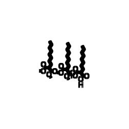 CCCCCCCCC(C(=O)O)C(=O)O.CCCCCCCCC(C(=O)OC)C(=O)OC.CCCCCCCCC(C(=O)OC)C(=O)OC